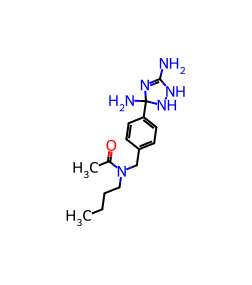 CCCCN(Cc1ccc(C2(N)N=C(N)NN2)cc1)C(C)=O